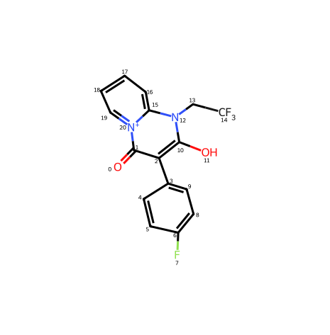 O=c1c(-c2ccc(F)cc2)c(O)n(CC(F)(F)F)c2cccc[n+]12